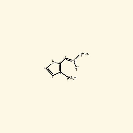 CCCCCC[N+]([O-])=Cc1occc1S(=O)(=O)O